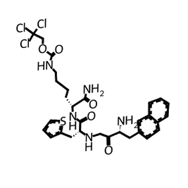 NC(=O)[C@@H](CCCCNC(=O)OCC(Cl)(Cl)Cl)NC(=O)[C@@H](Cc1cccs1)NCC(=O)[C@H](N)Cc1ccc2ccccc2c1